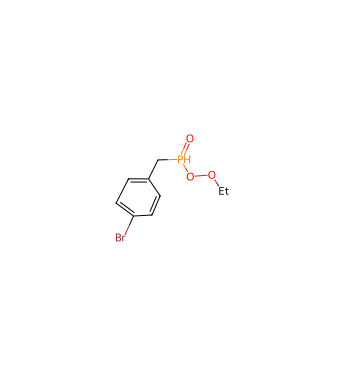 CCOO[PH](=O)Cc1ccc(Br)cc1